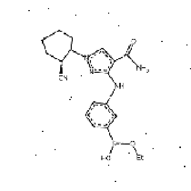 CCOB(O)c1cccc(Nc2nn(C3CCCC[C@@H]3C#N)cc2C(N)=O)c1